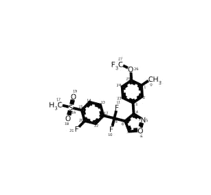 Cc1cc(-c2nocc2C(F)(F)c2ccc(S(C)(=O)=O)c(F)c2)ccc1OC(F)(F)F